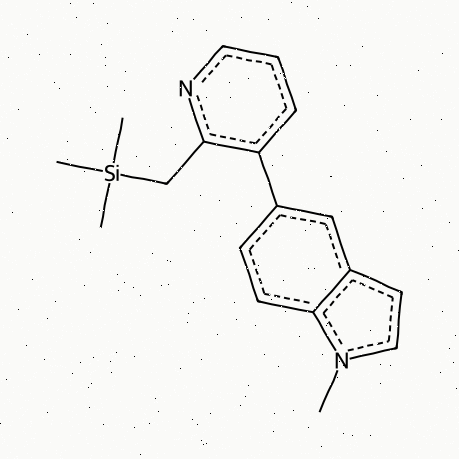 Cn1ccc2cc(-c3cccnc3C[Si](C)(C)C)ccc21